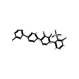 Cc1cccc(-c2ccc(-c3ccc(-c4cccc(C)c4[Si](C)(C)C)c(C)c3C)cc2)c1